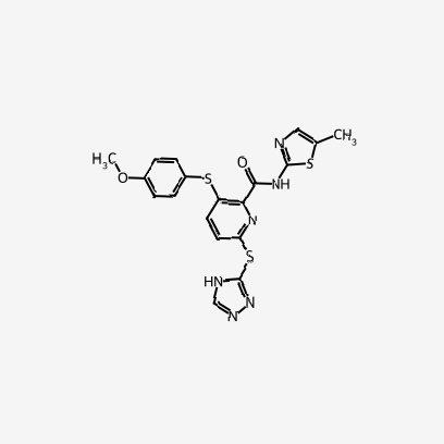 COc1ccc(Sc2ccc(Sc3nnc[nH]3)nc2C(=O)Nc2ncc(C)s2)cc1